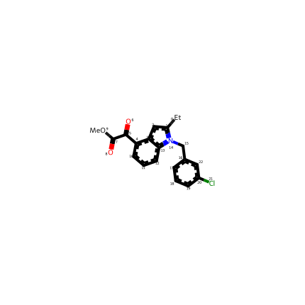 CCc1cc2c(C(=O)C(=O)OC)cccc2n1Cc1cccc(Cl)c1